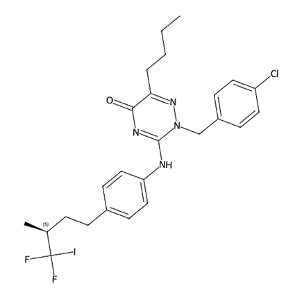 CCCCc1nn(Cc2ccc(Cl)cc2)c(Nc2ccc(CC[C@H](C)C(F)(F)I)cc2)nc1=O